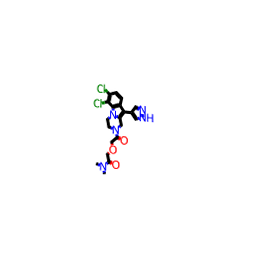 CN(C)C(=O)COCC(=O)N1CCn2c(c(-c3cn[nH]c3)c3ccc(Cl)c(Cl)c32)C1